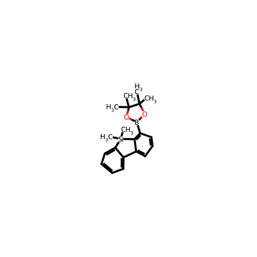 CC1(C)OB(c2cccc3c2[Si](C)(C)c2ccccc2-3)OC1(C)C